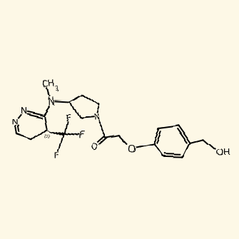 CN(C1=NN=CC[C@@H]1C(F)(F)F)C1CCN(C(=O)COc2ccc(CO)cc2)C1